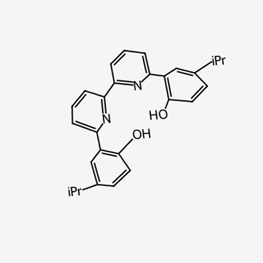 CC(C)c1ccc(O)c(-c2cccc(-c3cccc(-c4cc(C(C)C)ccc4O)n3)n2)c1